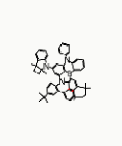 CC1CCC(C)(C)c2cc3c(cc21)N(c1ccc(C(C)(C)C)cc1C1=CC=C=C=C1)c1cc(N2c4ccccc4C4(C)CCC24C)cc2c1B3c1ccccc1N2c1ccccc1